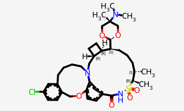 C[C@@H]1[C@@H](C)CCC[C@H]([C@H]2OC[C@@](C)(N(C)C)CO2)[C@@H]2CC[C@H]2CN2CCCCc3cc(Cl)ccc3COc3ccc(cc32)C(=O)NS1(=O)=O